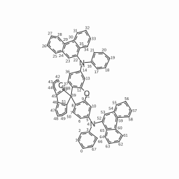 c1ccc(N(c2ccc3c(c2)Oc2cc(N(c4ccccc4)c4cc5ccccc5c5ccccc45)ccc2C32c3ccccc3-c3ccccc32)c2cc3ccccc3c3ccccc23)cc1